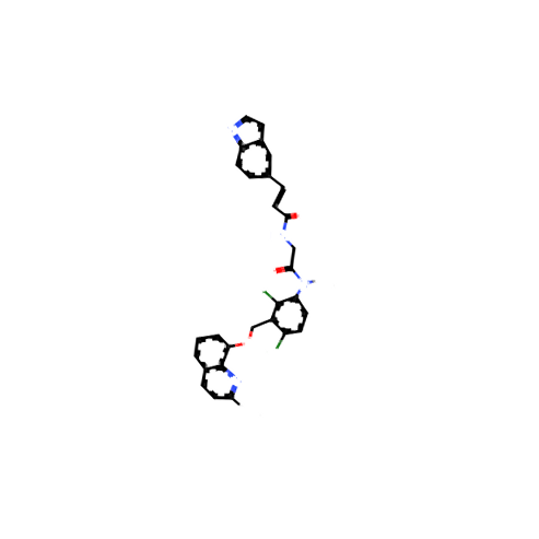 Cc1ccc2cccc(OCc3c(Cl)ccc(N(C)C(=O)CNC(=O)/C=C/c4ccc5[nH]ccc5c4)c3Cl)c2n1